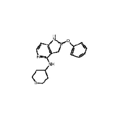 c1ccc(ON2Cc3c(ccnc3NC3CCOCC3)N2)cc1